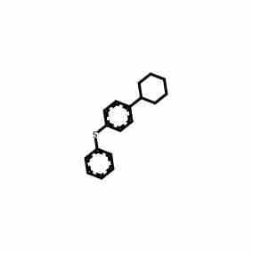 c1ccc(Sc2ccc(C3CCCCC3)cc2)cc1